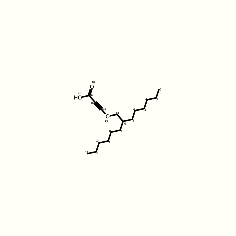 CCCCCCC(CCCCCC)COC#CC(=O)O